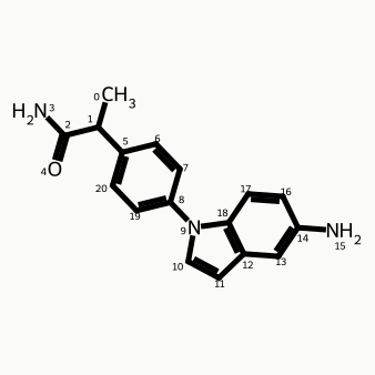 CC(C(N)=O)c1ccc(-n2ccc3cc(N)ccc32)cc1